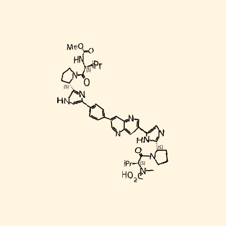 COC(=O)N[C@H](C(=O)N1CCC[C@H]1c1nc(-c2ccc(-c3cnc4cc(-c5cnc([C@@H]6CCCN6C(=O)[C@H](C(C)C)N(C)C(=O)O)[nH]5)cnc4c3)cc2)c[nH]1)C(C)C